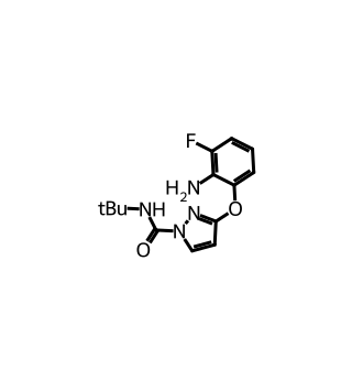 CC(C)(C)NC(=O)n1ccc(Oc2cccc(F)c2N)n1